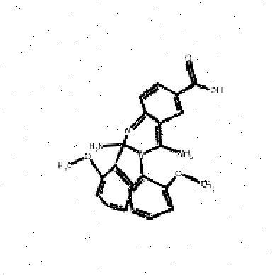 COc1ccccc1N1C(N)=c2cc(C(=O)O)ccc2=NC1(N)c1ccccc1OC